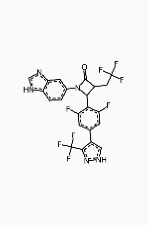 O=C1C(CC(F)(F)F)C(c2c(F)cc(-c3c[nH]nc3C(F)(F)F)cc2F)N1c1ccc2[nH]cnc2c1